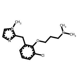 CN(C)CCCOc1c(Cl)cccc1Cc1nccn1C